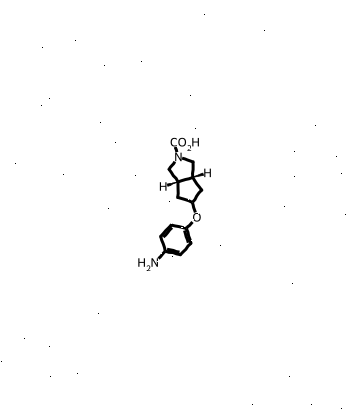 Nc1ccc(OC2C[C@@H]3CN(C(=O)O)C[C@@H]3C2)cc1